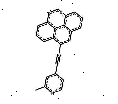 Cc1cc(C#Cc2cc3cccc4ccc5cccc2c5c43)ccn1